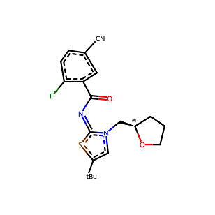 CC(C)(C)c1cn(C[C@H]2CCCO2)c(=NC(=O)c2cc(C#N)ccc2F)s1